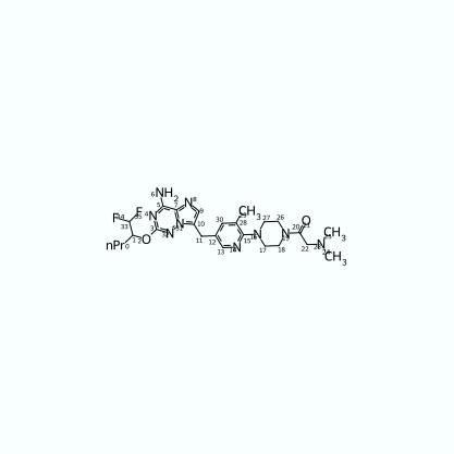 CCCC(Oc1nc(N)c2ncc(Cc3cnc(N4CCN(C(=O)CN(C)C)CC4)c(C)c3)n2n1)C(F)F